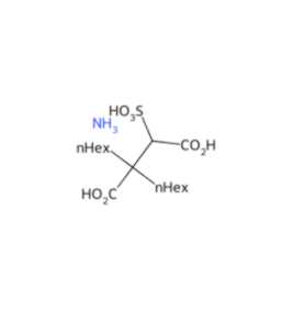 CCCCCCC(CCCCCC)(C(=O)O)C(C(=O)O)S(=O)(=O)O.N